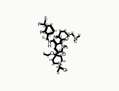 CCOC1(c2cc3c(N[C@H](C)c4cccc(C(F)F)c4F)nc4c(c3n(C)c2=O)O[C@H](CN(C)C)CC4)CCN(C(C)=O)CC1